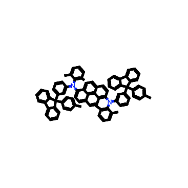 Cc1ccc(C2(c3cccc(N(c4c(C)cccc4C)c4ccc5ccc6c(N(c7cccc(C8(c9ccc(C)cc9)c9ccccc9-c9ccccc98)c7)c7c(C)cccc7C)ccc7ccc4c5c76)c3)c3ccccc3-c3ccccc32)cc1